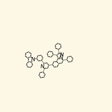 c1ccc(-c2cc(-c3ccc4cc(-c5ccccc5)n5nc(-c6ccccc6)c(-c6ccccc6)c5c4c3)cc(-c3cccc(-n4c5ccccc5c5ccccc54)c3)n2)cc1